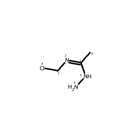 CC(=NCCl)NN